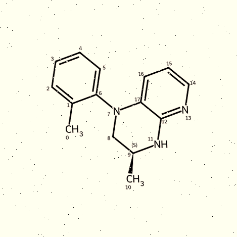 Cc1ccccc1N1C[C@H](C)Nc2ncccc21